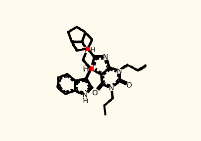 CCCn1c(=O)c2[nH]c(C3CC4CCC(C3)C4NCCc3c[nH]c4ccccc34)nc2n(CCC)c1=O